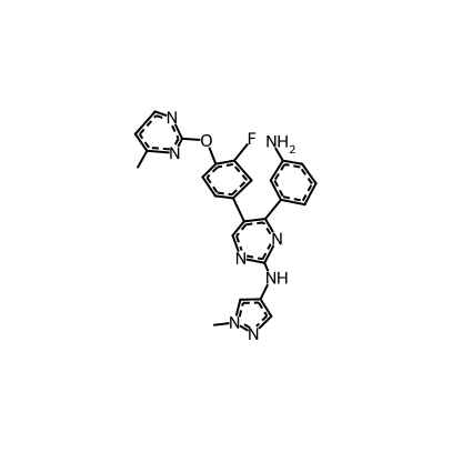 Cc1ccnc(Oc2ccc(-c3cnc(Nc4cnn(C)c4)nc3-c3cccc(N)c3)cc2F)n1